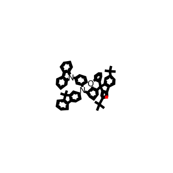 CC(C)(C)c1ccc2c(c1)C1(c3ccccc3Oc3c(N(c4cccc(-n5c6ccccc6c6ccccc65)c4)c4ccc5c(c4)C(C)(C)c4ccccc4-5)cccc31)c1cc(C(C)(C)C)ccc1-2